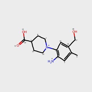 Cc1cc(N)c(N2CCC(C(=O)O)CC2)cc1CO